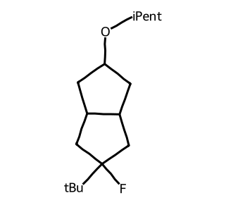 CCCC(C)OC1CC2CC(F)(C(C)(C)C)CC2C1